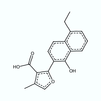 CCc1cccc2c(O)c(-c3occ(C)c3C(=O)O)ccc12